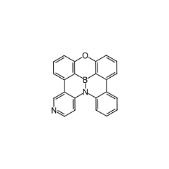 c1ccc2c(c1)-c1cccc3c1B1c4c(cccc4-c4cnccc4N12)O3